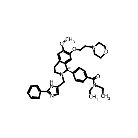 CCN(CC)C(=O)c1ccc([C@@H]2c3cc(OCCN4CCOCC4)c(OC)cc3CCN2Cc2cnc(-c3ccccc3)[nH]2)cc1